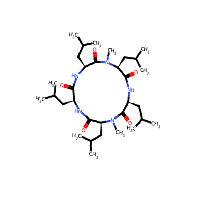 CC(C)C[C@@H]1NC(=O)[C@H](CC(C)C)N(C)C(=O)[C@H](CC(C)C)NC(=O)[C@H](CC(C)C)N(C)C(=O)[C@H](CC(C)C)NC1=O